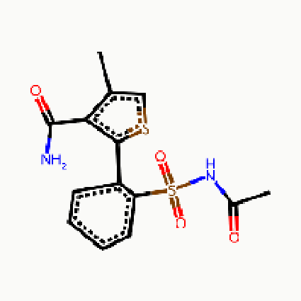 CC(=O)NS(=O)(=O)c1ccccc1-c1scc(C)c1C(N)=O